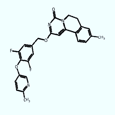 Cc1ccc2c(c1)CCn1c-2cc(OCc2cc(F)c(Oc3ccc(C)nc3)c(F)c2)nc1=O